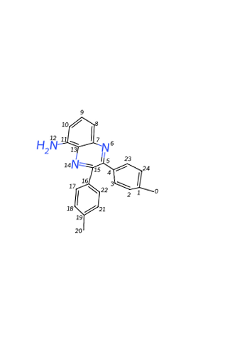 Cc1ccc(-c2nc3cccc(N)c3nc2-c2ccc(C)cc2)cc1